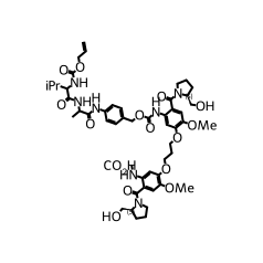 C=CCOC(=O)NC(C(=O)NC(C)C(=O)Nc1ccc(COC(=O)Nc2cc(OCCCOc3cc(NC(=O)O)c(C(=O)N4CCC[C@H]4CO)cc3OC)c(OC)cc2C(=O)N2CCC[C@H]2CO)cc1)C(C)C